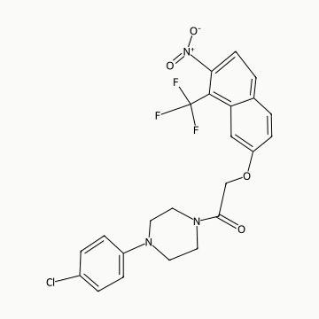 O=C(COc1ccc2ccc([N+](=O)[O-])c(C(F)(F)F)c2c1)N1CCN(c2ccc(Cl)cc2)CC1